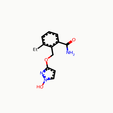 CCc1cccc(C(N)=O)c1COc1ccn(O)n1